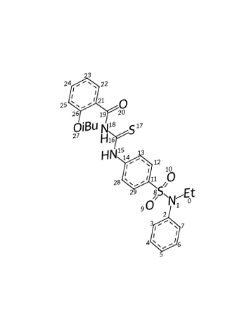 CCN(c1ccccc1)S(=O)(=O)c1ccc(NC(=S)NC(=O)c2ccccc2OCC(C)C)cc1